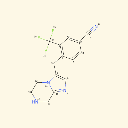 N#Cc1ccc(Cc2cnc3n2CCNC3)c(C(F)(F)F)c1